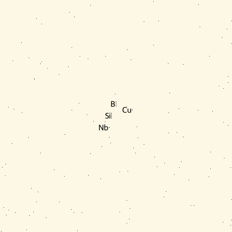 [B].[Cu].[Nb].[Si]